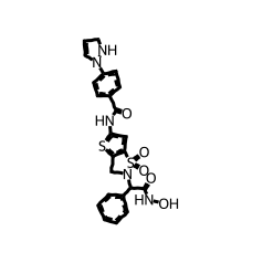 O=C(Nc1cc2c(s1)CN(C(C(=O)NO)c1ccccc1)S2(=O)=O)c1ccc(N2C=CCN2)cc1